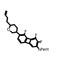 C=CCCC1CCC(c2ccc3c(c2F)-c2c-3cc(CCCCC)c(F)c2F)CO1